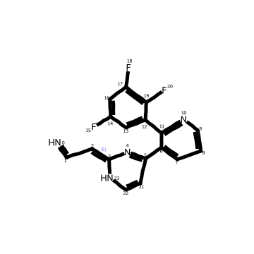 N=C/C=C1/N=C(c2cccnc2-c2cc(F)cc(F)c2F)C=CN1